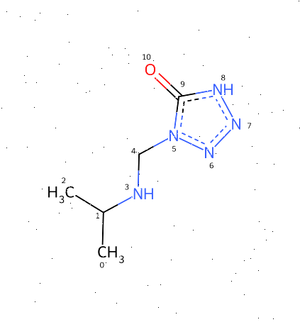 CC(C)NCn1nn[nH]c1=O